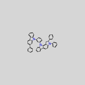 c1ccc(-c2ccc3c4ccccc4n(-c4cccc(-n5c6ccccc6c6ccc7c(c65)CC(c5ccccc5)N7c5ccccc5)c4)c3c2)cc1